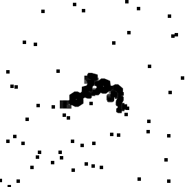 CN(C)CCN1CCN(c2ccc3c(c2)Cn2cc(-c4ccc(C#N)cc4)cc2-c2nccn2-3)C1=O